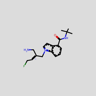 CC(C)(C)NC(=O)c1cccc2c1ccn2C/C(=C/CF)CN